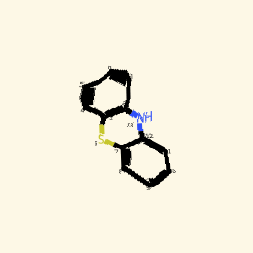 [c]1[c]c2c(cc1)Sc1ccccc1N2